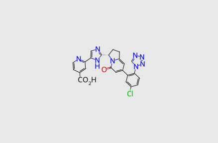 O=C(O)c1ccnc(-c2cnc([C@@H]3CCc4cc(-c5cc(Cl)ccc5-n5cnnn5)cc(=O)n43)[nH]2)c1